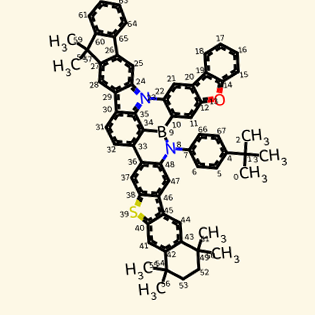 CC(C)(C)c1ccc(N2B3c4cc5oc6ccccc6c5cc4-n4c5cc6c(cc5c5ccc(c3c54)-c3cc4sc5cc7c(cc5c4cc32)C(C)(C)CCC7(C)C)C(C)(C)c2ccccc2-6)cc1